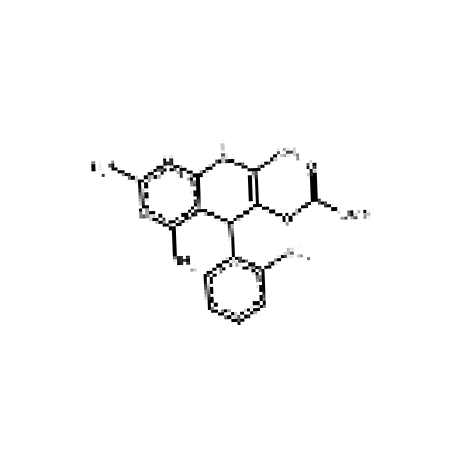 COC(=O)OC1=C(C)Nc2nc(N)nc(N)c2C1c1ccccc1[N+](=O)[O-]